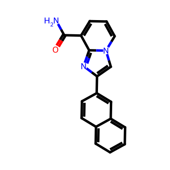 NC(=O)c1cccn2cc(-c3ccc4ccccc4c3)nc12